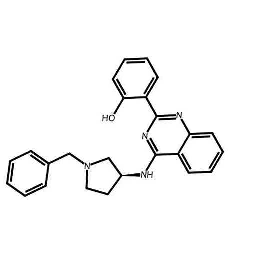 Oc1ccccc1-c1nc(N[C@H]2CCN(Cc3ccccc3)C2)c2ccccc2n1